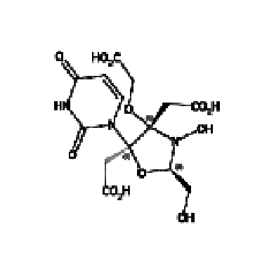 O=C(O)CO[C@]1(CC(=O)O)N(O)[C@@H](CO)O[C@@]1(CC(=O)O)n1ccc(=O)[nH]c1=O